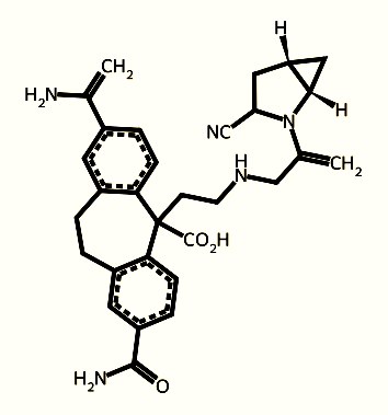 C=C(N)c1ccc2c(c1)CCc1cc(C(N)=O)ccc1C2(CCNCC(=C)N1C(C#N)C[C@@H]2C[C@@H]21)C(=O)O